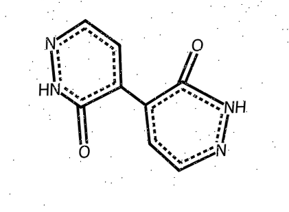 O=c1[nH]nccc1-c1ccn[nH]c1=O